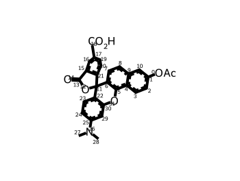 CC(=O)Oc1ccc2c3c(ccc2c1)C1(OC(=O)c2cc(C(=O)O)ccc21)c1ccc(N(C)C)cc1O3